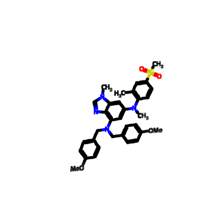 COc1ccc(CN(Cc2ccc(OC)cc2)c2cc(N(C)c3ccc(S(C)(=O)=O)cc3C)cc3c2ncn3C)cc1